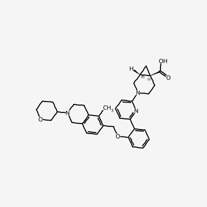 Cc1c(COc2ccccc2-c2cccc(N3CC[C@@]4(C(=O)O)C[C@H]4C3)n2)ccc2c1CCN(C1CCCOC1)C2